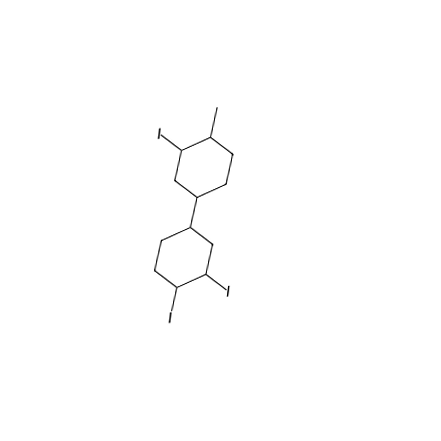 CC1CCC(C2CCC(I)C(I)C2)CC1I